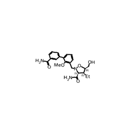 CC[C@@H]1[C@H](CO)ON(Cc2cccc(-c3cccc(C(N)=O)c3)c2OC)[C@@H]1C(N)=O